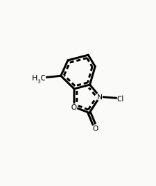 Cc1cccc2c1oc(=O)n2Cl